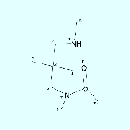 CNCC(C)(C)CN(C)C(C)=O